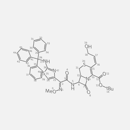 CON=C(C(=O)NC1C(=O)N2C(C(=O)OC(C)(C)C)=C(/C=C\CO)SCC12)c1csc(NC(c2ccccc2)(c2ccccc2)c2ccccc2)n1